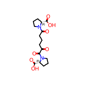 O=C(CCCC(=O)N1CCC[C@@H]1C(=O)O)C(=O)N1CCC[C@@H]1C(=O)O